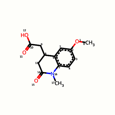 COc1ccc2c(c1)C(CC(=O)O)CC(=O)N2C